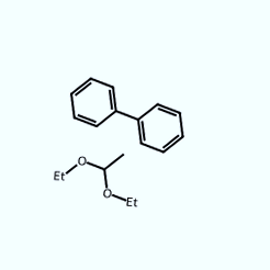 CCOC(C)OCC.c1ccc(-c2ccccc2)cc1